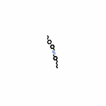 C=CCCCc1ccc(C=NN=Cc2ccc([C@H]3CC[C@H](CCC)CC3)cc2)cc1